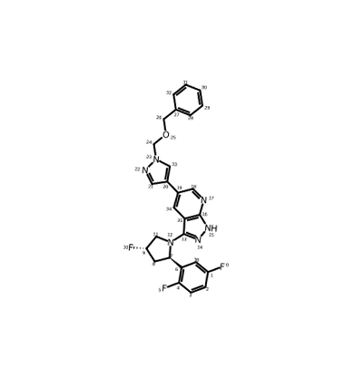 Fc1ccc(F)c([C@H]2C[C@H](F)CN2c2n[nH]c3ncc(-c4cnn(COCc5ccccc5)c4)cc23)c1